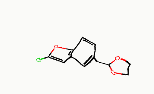 Clc1cc2cc(C3OCCO3)ccc2o1